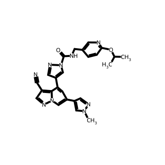 CC(C)Oc1ccc(CNC(=O)n2cc(-c3cc(-c4cnn(C)c4)cn4ncc(C#N)c34)cn2)cn1